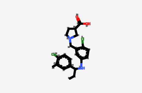 CCC(Nc1ccc(Cl)c(CN2CCC(C(=O)O)C2)c1)c1ccc(Cl)c(C)c1